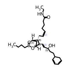 CCCCB1O[C@H]2C[C@@H](O1)[C@H](/C=C/[C@@H](O)CCC1C=CC=CC1)[C@H]2C/C=C\CCCC(=O)NCC